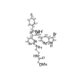 COCC(=O)NCCNc1nccc(-c2nc(-c3ccc(F)cc3)[nH]c2-c2cnc3[nH]cc(Br)c3c2)n1